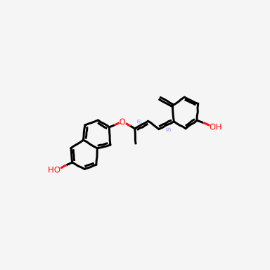 C=c1ccc(O)c/c1=C/C=C(\C)Oc1ccc2cc(O)ccc2c1